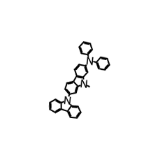 Cn1c2cc(N(c3ccccc3)c3ccccc3)ccc2c2ccc(-n3c4ccccc4c4ccccc43)cc21